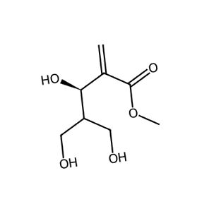 C=C(C(=O)OC)[C@H](O)C(CO)CO